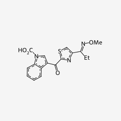 CC/C(=N\OC)c1csc(C(=O)c2cn(C(=O)O)c3ccccc23)n1